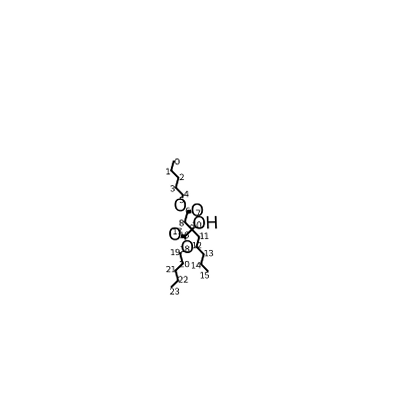 CCCCCOC(=O)CC(O)(CCCCC)C(=O)OCCCCC